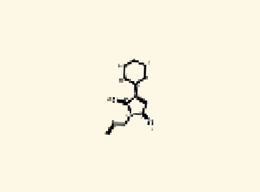 C=CCN1C(=O)C=C(C2CCCCC2)C1=O